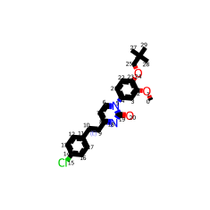 COc1cc(-n2ccc(/C=C/c3ccc(Cl)cc3)nc2=O)ccc1OCC(C)(C)C